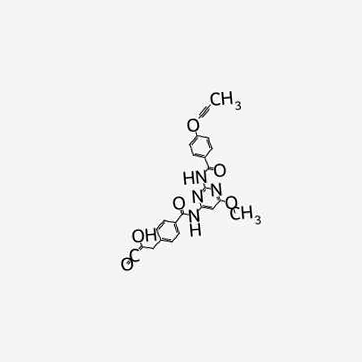 CC#COc1ccc(C(=O)Nc2nc(NC(=O)c3ccc(CC(O)=C=O)cc3)cc(OC)n2)cc1